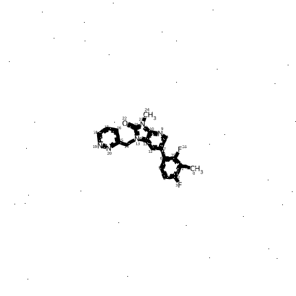 Cc1c(F)ccc(-c2cnc3c(c2)n(Cc2cccnn2)c(=O)n3C)c1F